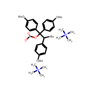 CCCCC(c1ccc(OC)cc1)C(OB([O-])[O-])(c1ccc(OC)cc1)c1ccc(OC)cc1.C[N+](C)(C)C.C[N+](C)(C)C